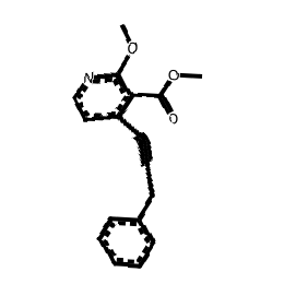 COC(=O)c1c(C#CCc2ccccc2)ccnc1OC